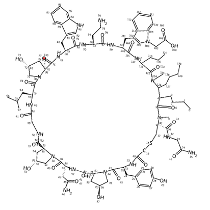 CCCCC1C(=O)N(C)[C@H](C(=O)NCC(N)=O)CSCC(=O)N[C@@H](Cc2ccc(O)cc2)C(=O)N2C[C@@H](O)C[C@H]2C(=O)N[C@H](CC(N)=O)C(=O)N2C[C@H](O)C[C@@H]2C(=O)NCC(=O)N[C@@H](CC(C)C)C(=O)N2C[C@H](O)C[C@H]2C(=O)N[C@@H](Cc2c[nH]c3ccccc23)C(=O)N[C@@H](CCN)C(=O)N[C@@H](Cc2cn(CC(=O)O)c3ccccc23)C(=O)NC(CCC)C(=O)N(C)C1CCCC